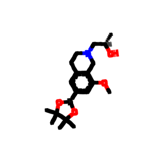 COc1cc(B2OC(C)(C)C(C)(C)O2)cc2c1CN(C[C@H](C)O)CC2